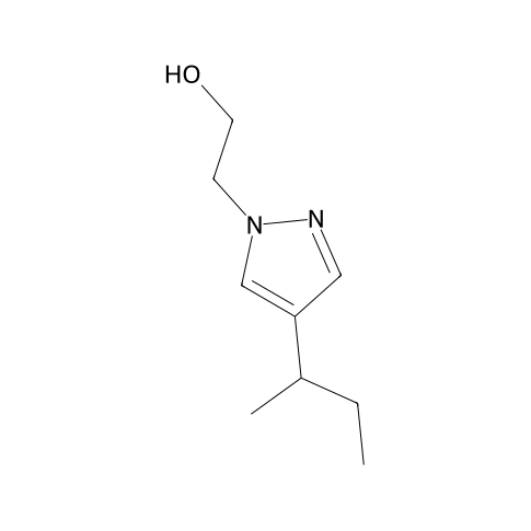 CCC(C)c1cnn(CCO)c1